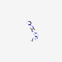 FC(F)Cn1ncc2ncc(N3CC4CN(c5ccc(C(F)(F)F)nc5)CC4C3)nc21